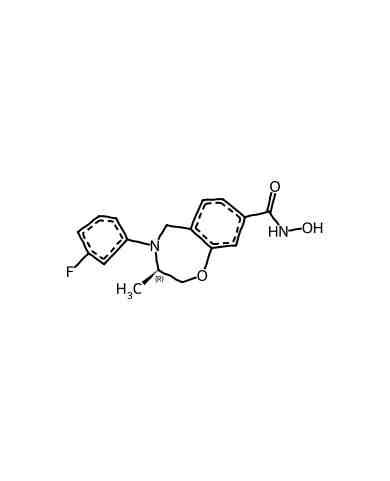 C[C@@H]1COc2cc(C(=O)NO)ccc2CN1c1cccc(F)c1